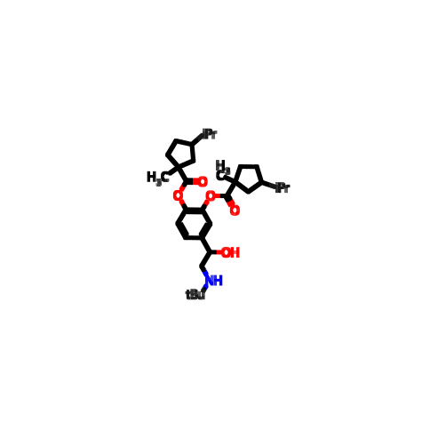 CC(C)C1CCC(C)(C(=O)Oc2ccc(C(O)CNC(C)(C)C)cc2OC(=O)C2(C)CCC(C(C)C)C2)C1